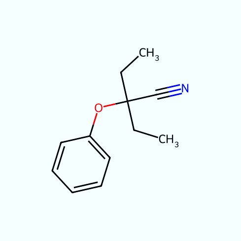 CCC(C#N)(CC)Oc1ccccc1